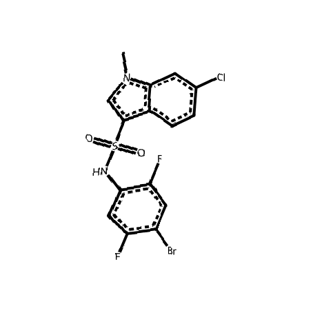 Cn1cc(S(=O)(=O)Nc2cc(F)c(Br)cc2F)c2ccc(Cl)cc21